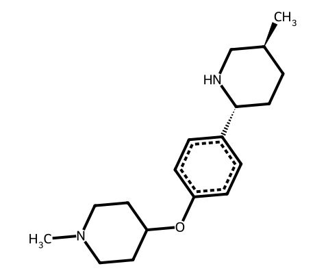 C[C@H]1CC[C@H](c2ccc(OC3CCN(C)CC3)cc2)NC1